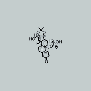 CC1(C)O[C@@H]2C[C@H]3[C@@H]4CCC5=CC(=O)C=C[C@]5(C)[C@@]4(F)[C@@H](OP(=O)(O)O)C[C@]3(C)[C@]2(C(=O)CO)O1